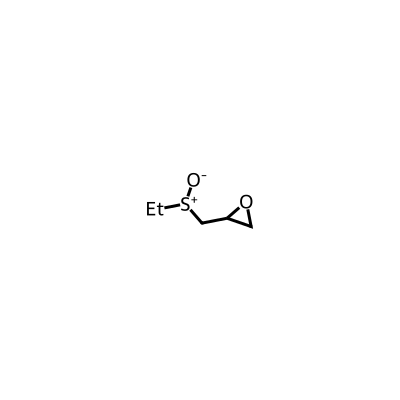 CC[S+]([O-])CC1CO1